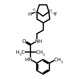 Cc1cccc(NC(C)(C)C(=O)NCCC2C[C@@H]3CC[C@@](F)(C2)C3)c1